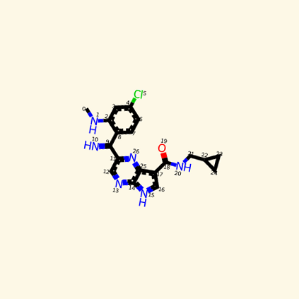 CNc1cc(Cl)ccc1C(=N)c1cnc2[nH]cc(C(=O)NCC3CC3)c2n1